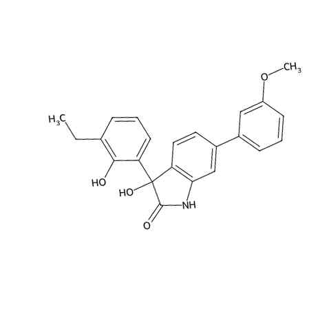 CCc1cccc(C2(O)C(=O)Nc3cc(-c4cccc(OC)c4)ccc32)c1O